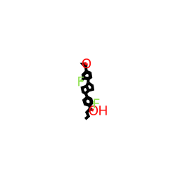 CCCC(O)c1ccc(C2CCC3C(c4ccc(C5CO5)cc4F)CCC23)cc1F